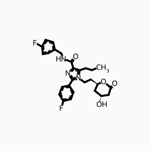 CCCc1c(C(=O)NCc2ccc(F)cc2)nc(-c2ccc(F)cc2)n1CC[C@@H]1C[C@@H](O)CC(=O)O1